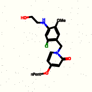 CCCCCOc1ccn(Cc2cc(OC)c(NCCO)cc2Cl)c(=O)c1